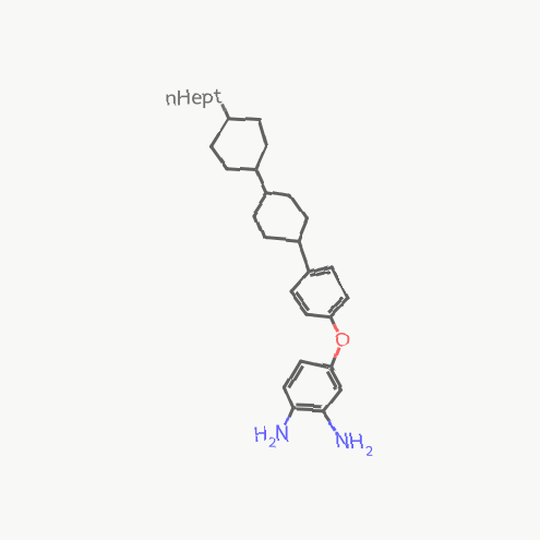 CCCCCCCC1CCC(C2CCC(c3ccc(Oc4ccc(N)c(N)c4)cc3)CC2)CC1